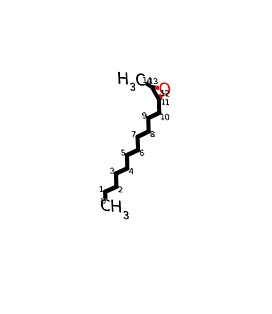 CCCCCCCCCCCC1OC1C